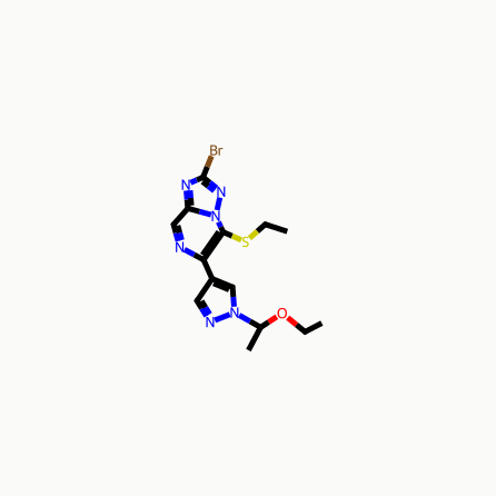 CCOC(C)n1cc(-c2ncc3nc(Br)nn3c2SCC)cn1